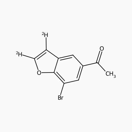 [2H]c1oc2c(Br)cc(C(C)=O)cc2c1[2H]